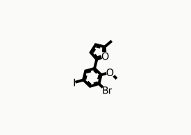 COc1c(Br)cc(I)cc1-c1ccc(C)o1